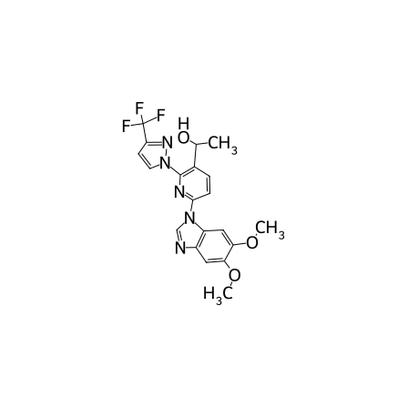 COc1cc2ncn(-c3ccc(C(C)O)c(-n4ccc(C(F)(F)F)n4)n3)c2cc1OC